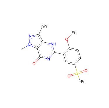 CCCc1nn(C)c2c(=O)nc(-c3cc(S(=O)(=O)C(C)(C)C)ccc3OCC)[nH]c12